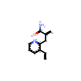 C=Cc1cccnc1CC(=C)C(N)=O